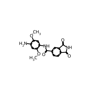 COc1cc(NC(=O)c2ccc3c(c2)C(=O)NC3=O)c(OC)cc1N